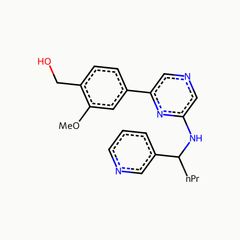 CCCC(Nc1cncc(-c2ccc(CO)c(OC)c2)n1)c1cccnc1